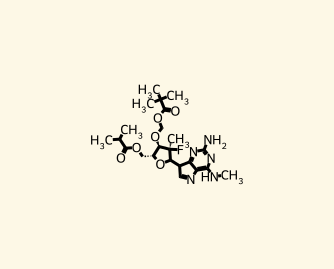 CNc1nc(N)nc2c1N=CC2C1O[C@H](COC(=O)C(C)C)[C@@H](OCOC(=O)C(C)(C)C)[C@@]1(C)F